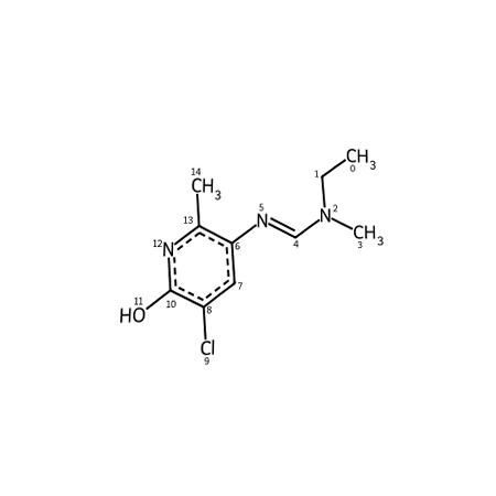 CCN(C)C=Nc1cc(Cl)c(O)nc1C